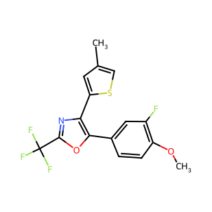 COc1ccc(-c2oc(C(F)(F)F)nc2-c2cc(C)cs2)cc1F